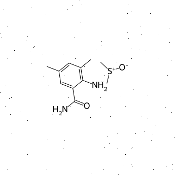 C[S+](C)[O-].Cc1cc(C)c(N)c(C(N)=O)c1